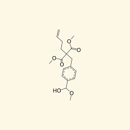 C=CCCC(Cc1ccc(C(O)OC)cc1)(C(=O)OC)C(=O)OC